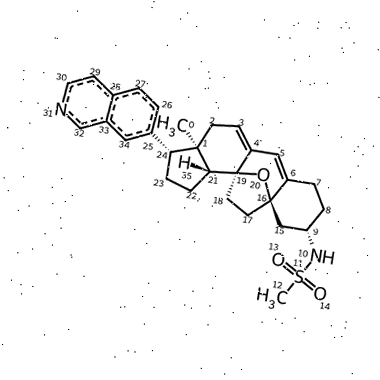 C[C@]12CC=C3C=C4CC[C@H](NS(C)(=O)=O)C[C@]45CC[C@]3(O5)[C@@H]1CC[C@@H]2c1ccc2ccncc2c1